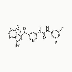 CC(C)n1cc(C(=O)c2cncc(NC(=O)Nc3cc(F)cc(F)c3)c2)c2c(N)ncnc21